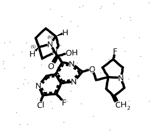 C=C1CN2CC(F)CC2(COc2nc(N3C[C@H]4CC[C@@H](C3)N4C(=O)O)c3cnc(Cl)c(F)c3n2)C1